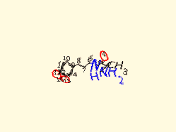 C[C@@H](N)C(=O)NCCCc1ccc2c(c1)OCO2